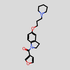 O=C(c1ccoc1)N1CCc2cc(OCCCN3CCCCC3)ccc21